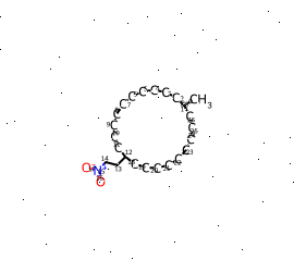 C[C@@H]1CCCCCCCCCCC(CC[N+](=O)[O-])CCCCCCCCC1